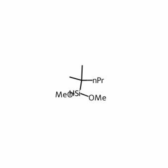 CCCC(C)(C)[SiH](OC)OC